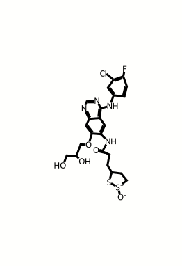 O=C(CCC1CC[S+]([O-])S1)Nc1cc2c(Nc3ccc(F)c(Cl)c3)ncnc2cc1OCC(O)CO